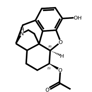 CC(=O)O[C@H]1CCC2C3Cc4ccc(O)c5c4C2(CCN3)[C@H]1O5